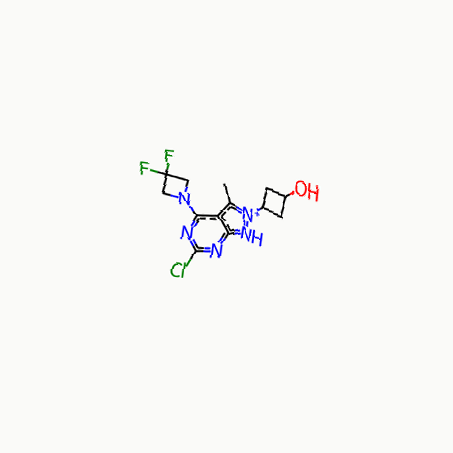 Cc1c2c(N3CC(F)(F)C3)nc(Cl)nc2[nH][n+]1C1CC(O)C1